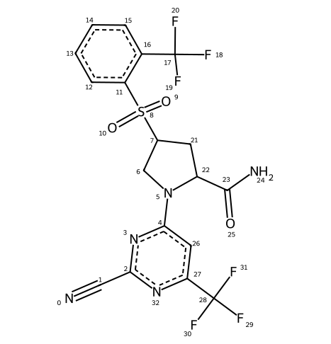 N#Cc1nc(N2CC(S(=O)(=O)c3ccccc3C(F)(F)F)CC2C(N)=O)cc(C(F)(F)F)n1